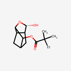 CCC(C)(C)C(=O)OC1C2CC3C1O[C@H](O)C3C2